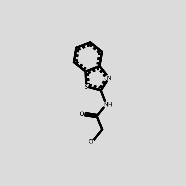 O=C(CCl)Nc1nc2ccccc2s1